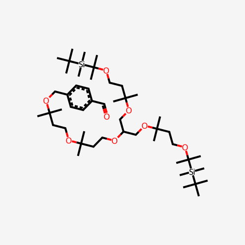 CC(C)(CCOC(COC(C)(C)CCOC(C)(C)[Si](C)(C)C(C)(C)C)COC(C)(C)CCOC(C)(C)[Si](C)(C)C(C)(C)C)OCCC(C)(C)OCc1ccc(C=O)cc1